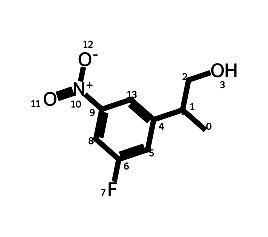 C[C](CO)c1cc(F)cc([N+](=O)[O-])c1